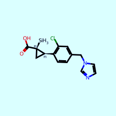 O=C(O)[C@@]1([SiH3])C[C@@H]1c1ccc(Cn2ccnc2)cc1Cl